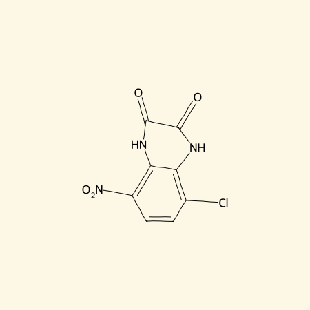 O=c1[nH]c2c(Cl)ccc([N+](=O)[O-])c2[nH]c1=O